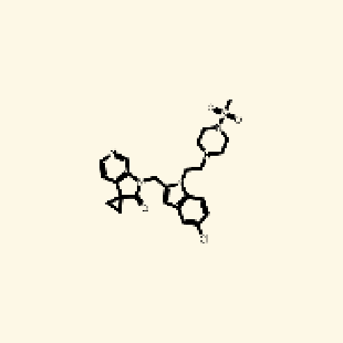 CS(=O)(=O)N1CCN(CCn2c(CN3C(=O)C4(CC4)c4ccncc43)cc3cc(Cl)ccc32)CC1